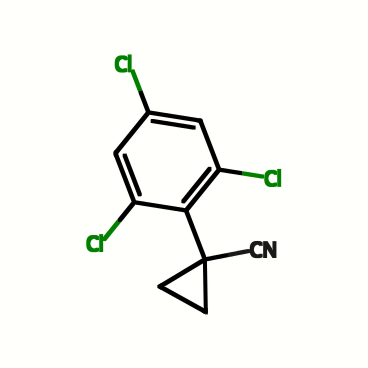 N#CC1(c2c(Cl)cc(Cl)cc2Cl)CC1